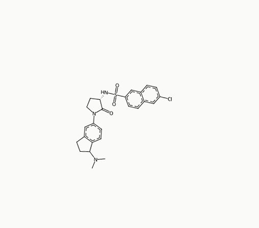 CN(C)C1CCc2cc(N3CC[C@H](NS(=O)(=O)c4ccc5cc(Cl)ccc5c4)C3=O)ccc21